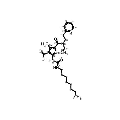 CCCCCCCCNC(=O)Nc1sc(C(=O)N(CC)CCc2ccccn2)c(C)c1C(=O)O